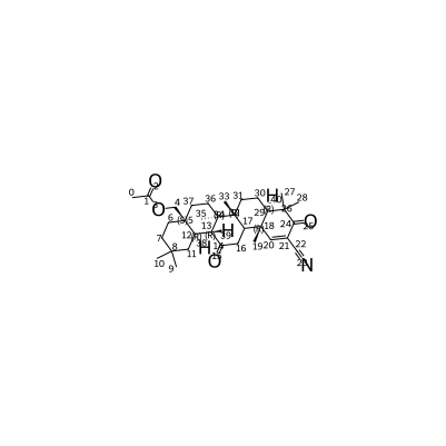 CC(=O)OC[C@]12CCC(C)(C)C[C@@H]1[C@H]1C(=O)CC3[C@@]4(C)C=C(C#N)C(=O)C(C)(C)[C@@H]4CC[C@@]3(C)[C@]1(C)CC2